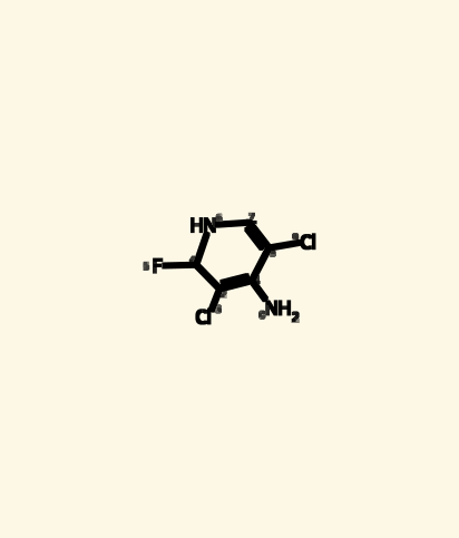 NC1=C(Cl)C(F)N[C]=C1Cl